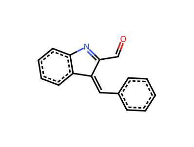 O=CC1=Nc2ccccc2C1=Cc1ccccc1